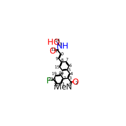 CNC(=O)C(=Cc1ccc(C=CC(=O)NO)cc1)c1ccc(F)cc1